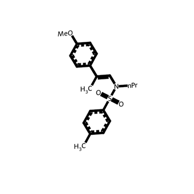 CCCN(C=C(C)c1ccc(OC)cc1)S(=O)(=O)c1ccc(C)cc1